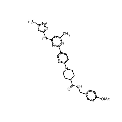 COc1ccc(CNC(=O)C2CCN(c3ccc(-c4nc(C)cc(Nc5cc(C)[nH]n5)n4)cn3)CC2)cc1